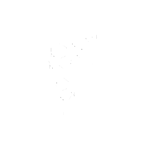 CN(C)CCN(C)c1cc(-c2ccc3c(c2)ncn3CC(F)F)c2nc[nH]c2c1C(N)=O